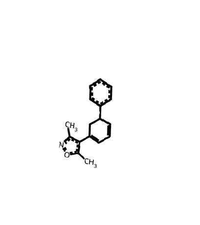 Cc1noc(C)c1C1=CC=CC(c2ccccc2)C1